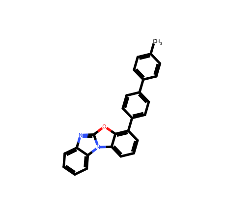 Cc1ccc(-c2ccc(-c3cccc4c3oc3nc5ccccc5n34)cc2)cc1